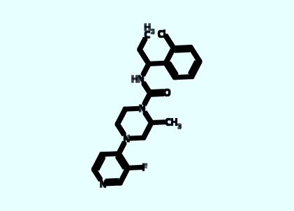 CCC(NC(=O)N1CCN(c2ccncc2F)CC1C)c1ccccc1Cl